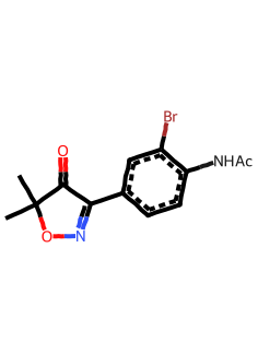 CC(=O)Nc1ccc(C2=NOC(C)(C)C2=O)cc1Br